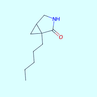 CCCCCC12CC1CNC2=O